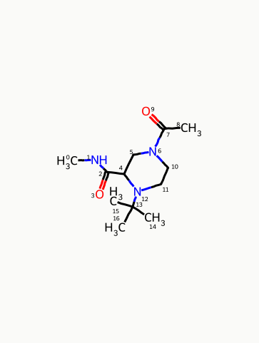 CNC(=O)C1CN(C(C)=O)CCN1C(C)(C)C